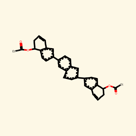 CCC(=O)OC1CC=Cc2cc(-c3ccc4cc(-c5ccc6c(c5)C=CCC6OC(=O)CC)ccc4c3)ccc21